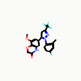 COc1cc(-c2cc(C(F)(F)F)nn2-c2ccc(F)cc2C)cc2c1OCC(=O)N2